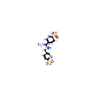 CS(=O)(=O)c1ccc(CNC(N)c2ccc(S(C)(=O)=O)nc2)cn1